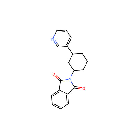 O=C1c2ccccc2C(=O)N1C1CCCC(c2cccnc2)C1